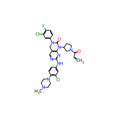 C=CC(=O)N1CCC(N2C(=O)N(c3ccc(F)c(Cl)c3)Cc3cnc(Nc4ccc(N5CCN(C)CC5)c(Cl)c4)nc32)C1